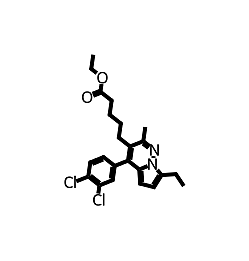 CCOC(=O)CCCCc1c(C)nn2c(CC)ccc2c1-c1ccc(Cl)c(Cl)c1